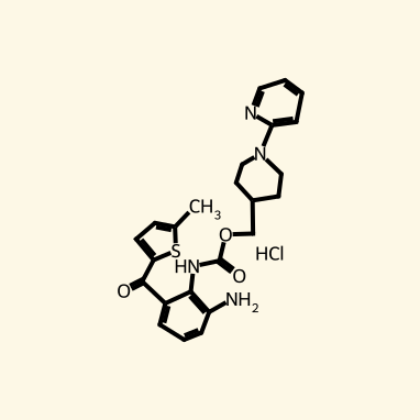 Cc1ccc(C(=O)c2cccc(N)c2NC(=O)OCC2CCN(c3ccccn3)CC2)s1.Cl